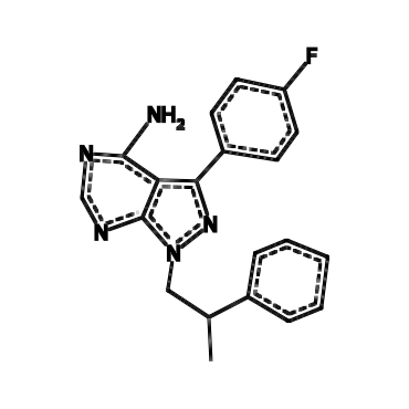 CC(Cn1nc(-c2ccc(F)cc2)c2c(N)ncnc21)c1ccccc1